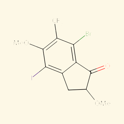 COc1c(I)c2c(c(Br)c1C(F)(F)F)C(=O)C(OC)C2